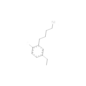 CCc1ccc(F)c(CCCCN)c1